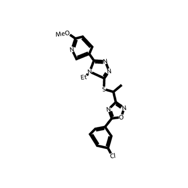 CCn1c(SC(C)c2noc(-c3cccc(Cl)c3)n2)nnc1-c1ccc(OC)nc1